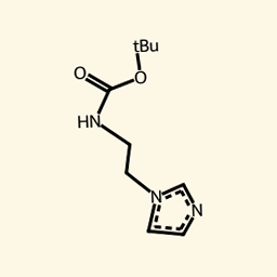 CC(C)(C)OC(=O)NCCn1ccnc1